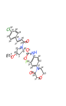 CCO[C@@H]1C[C@@H](OC(=O)Nc2ccc(N3CCOCC3=O)cc2F)N(C(=O)/C=C/c2ccc(Cl)cc2)C1